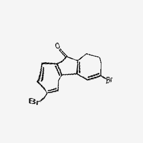 O=C1C2=C(C=C(Br)CC2)c2cc(Br)ccc21